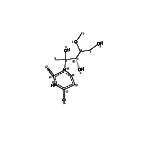 COC(CO)[C@H](O)C(C)(O)n1ccc(=O)[nH]c1=S